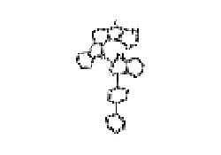 c1ccc(-c2ccc(-c3nc(-n4c5ccccc5c5ccc6sc7ncccc7c6c54)nc4ccccc34)cc2)cc1